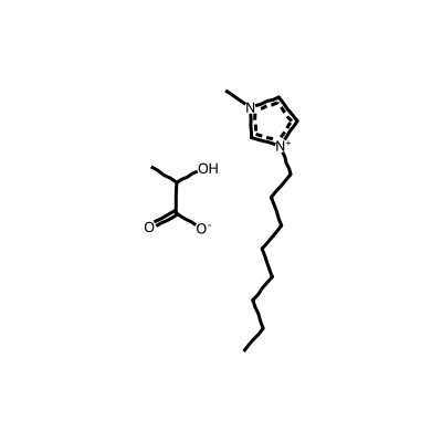 CC(O)C(=O)[O-].CCCCCCCC[n+]1ccn(C)c1